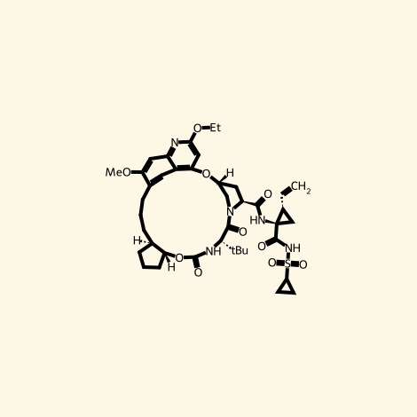 C=C[C@@H]1C[C@]1(NC(=O)[C@@H]1C[C@@H]2CN1C(=O)[C@H](C(C)(C)C)NC(=O)O[C@@H]1CCC[C@H]1CCCc1cc3c(cc(OCC)nc3cc1OC)O2)C(=O)NS(=O)(=O)C1CC1